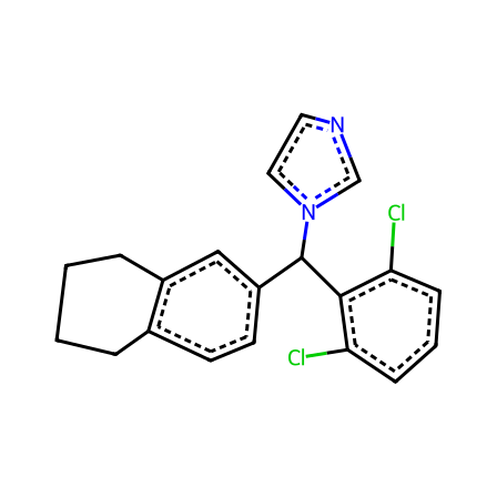 Clc1cccc(Cl)c1C(c1ccc2c(c1)CCCC2)n1ccnc1